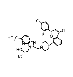 CC[C@H](O)Cn1c(CN2CCC(c3cccc4c3O[C@@H](c3ccc(Cl)cc3F)C=C4Cl)CC2)nc2ccc(C(=O)O)nc21